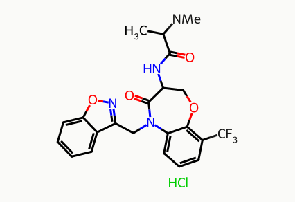 CNC(C)C(=O)NC1COc2c(cccc2C(F)(F)F)N(Cc2noc3ccccc23)C1=O.Cl